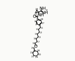 N=C(N)C1(NC(=O)c2ccc(CCCCCCCCOCC3CCCCC3)cc2)CC1